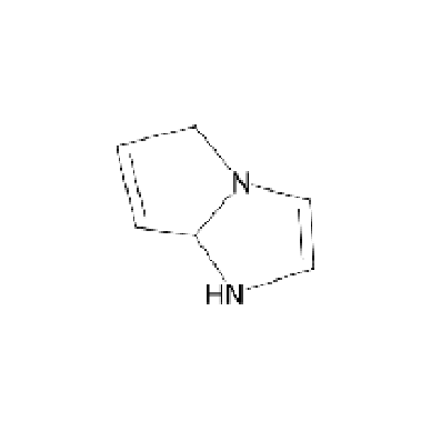 C1=CC2NC=CN2C1